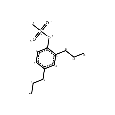 CCCc1ccc(OS(C)(=O)=O)c(CCC)c1